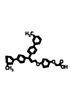 Cc1cccc(-c2ccc(C(=CCOc3ccc(OCC(=O)O)cc3)c3ccc(-c4cccc(C)c4)cc3)cc2)c1